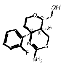 NC1=N[C@@]2(c3ccccc3F)CCO[C@H](CO)[C@H]2CS1